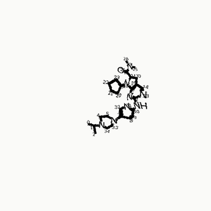 CC(C)N1CCN(c2ccc(Nc3ncc4c(n3)N(C3CCCC3)C(C(=O)N(C)C)C4)nc2)CC1